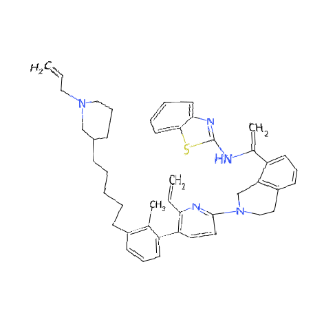 C=CCN1CCCC(CCCCCc2cccc(-c3ccc(N4CCc5cccc(C(=C)Nc6nc7ccccc7s6)c5C4)nc3C=C)c2C)C1